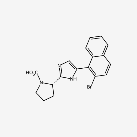 O=C(O)N1CCC[C@H]1c1ncc(-c2c(Br)ccc3ccccc23)[nH]1